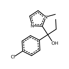 CCC(O)(c1ccc(Cl)cc1)c1nccn1C